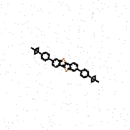 CC12CC1(c1ccc(-c3ccc4c(c3)sc3c5ccc(-c6ccc(C78CC7(C)C8)cc6)cc5sc43)cc1)C2